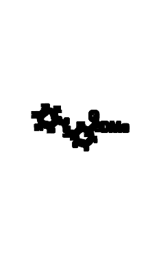 COC(=O)C1CC=CC(SCc2ccccc2)C1